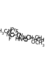 Cc1nc2c(F)cc(-c3nc(Nc4ccc5c(n4)CCN(CC(=O)C(C)(C)O)C5)ncc3F)cc2n1C(C)C